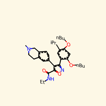 CCCCOc1cc(OCCCC)c(C(C)C)cc1-c1noc(C(=O)NCC)c1-c1ccc2c(c1)CCN(C)C2